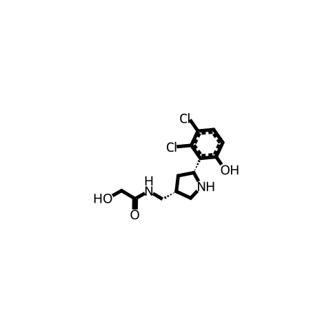 O=C(CO)NC[C@H]1CN[C@@H](c2c(O)ccc(Cl)c2Cl)C1